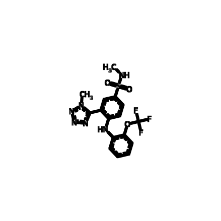 CNS(=O)(=O)c1ccc(Nc2ccccc2OC(F)(F)F)c(-c2nnnn2C)c1